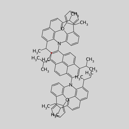 CCC(C)c1ccc2ccc(C(C)CC)c(N(c3cc(C(C)C)c4ccc5c(N(c6c(C(C)CC)ccc7ccc(C(C)CC)cc67)c6cccc7c6oc6ccccc67)cc(C(C)C)c6ccc3c4c65)c3cccc4c3oc3ccccc34)c2c1